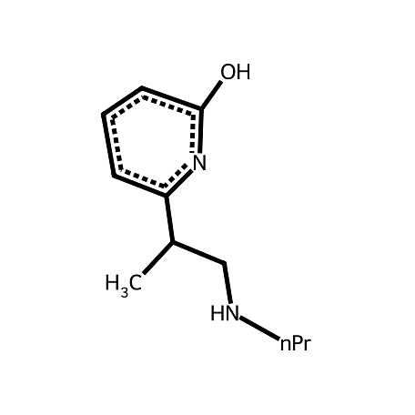 CCCNCC(C)c1cccc(O)n1